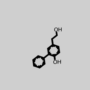 OCCc1ccc(O)c(-c2ccccc2)c1